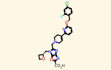 O=C(O)c1nc2nc(CN3CC=C(c4cccc(OCc5ccc(Cl)cc5F)n4)CC3)n(C[C@@H]3CCO3)c2o1